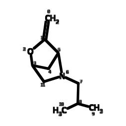 C=C1OC2CC1N(CC(C)C)C2